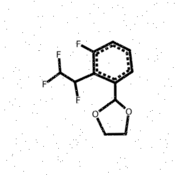 Fc1cccc(C2OCCO2)c1C(F)C(F)F